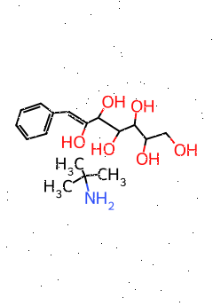 CC(C)(C)N.OCC(O)C(O)C(O)C(O)C(O)=Cc1ccccc1